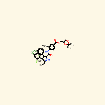 COc1cc(C(=O)OCC2COC(C)(C)O2)ccc1NC(=O)[C@@H]1N[C@@H](CC(C)(C)C)[C@](C#N)(c2ccc(Cl)cc2F)[C@H]1c1cccc(Cl)c1F